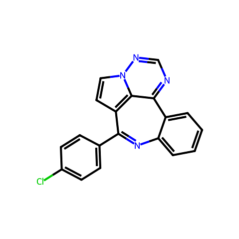 Clc1ccc(C2=Nc3ccccc3-c3ncnn4ccc2c34)cc1